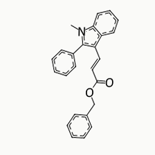 Cn1c(-c2ccccc2)c(C=CC(=O)OCc2ccccc2)c2ccccc21